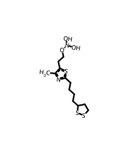 Cc1nc(CCCCC2CCSS2)sc1CCON(O)O